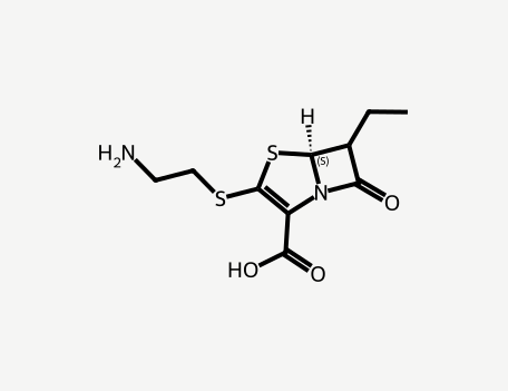 CCC1C(=O)N2C(C(=O)O)=C(SCCN)S[C@@H]12